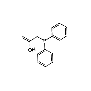 C=C(O)CP(c1ccccc1)c1ccccc1